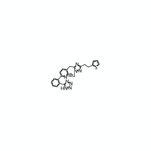 CCCCn1nc(CCc2cccs2)nc1Cc1ccc(-c2ccccc2-c2nnn[nH]2)nc1